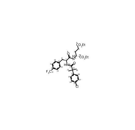 CCOC(=O)CC[C@@H](NC(=O)[C@H](Cc1ccc(C(F)(F)F)cc1)NC(=O)C(C)(C)c1ccc(Cl)cc1)C(=O)OCC